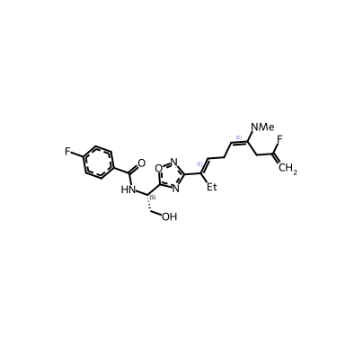 C=C(F)C/C(=C\C/C=C(\CC)c1noc([C@H](CO)NC(=O)c2ccc(F)cc2)n1)NC